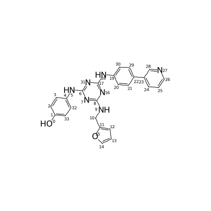 Oc1ccc(Nc2nc(NCc3ccco3)nc(Nc3ccc(-c4cccnc4)cc3)n2)cc1